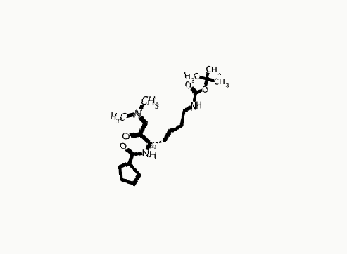 CN(C)CC(=O)[C@H](CCCCNC(=O)OC(C)(C)C)NC(=O)C1CCCC1